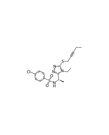 CCC#CCSc1nnc([C@@H](C)NS(=O)(=O)c2ccc(Cl)cc2)n1CC